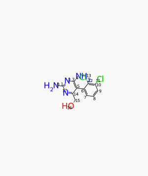 Nc1nc(N)c(-c2cccc(Cl)c2Cl)c(CO)n1